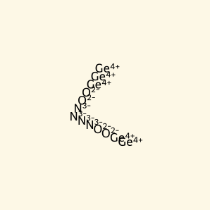 [Ge+4].[Ge+4].[Ge+4].[Ge+4].[Ge+4].[N-3].[N-3].[N-3].[N-3].[O-2].[O-2].[O-2].[O-2]